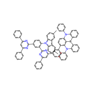 Cc1ccc2c(c1)c1cc(C)ccc1n2-c1ccc(-c2nc(-c3ccccc3)cc(-c3ccccc3)n2)cc1-c1nc(-c2ccccc2)cc(-c2cccc(-c3ccc4c5c3N(c3ccccc3)c3ccccc3B5c3ccccc3N4c3ccccc3)c2)n1